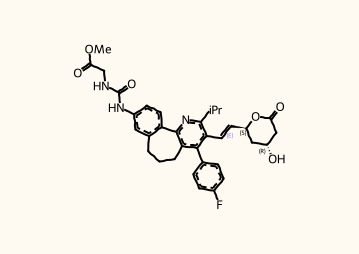 COC(=O)CNC(=O)Nc1ccc2c(c1)CCCc1c-2nc(C(C)C)c(/C=C/[C@@H]2C[C@@H](O)CC(=O)O2)c1-c1ccc(F)cc1